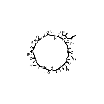 C/C=C/CC(C)C(O)[C@H]1C(=O)N[C@@H](CC)C(=O)N(C)CC(=O)N(C)[C@@H](CC(C)C)C(=O)N[C@@H](C(C)C)C(=O)N(C)[C@@H](CC(C)C)C(=O)N[C@@H](C)C(=O)N[C@H](C)C(=O)N(C)[C@@H](CC(C)C)C(=O)N(C)[C@@H](CC(C)C)C(=O)N(C)[C@@H](C(C)C)C(=O)N1C